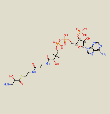 CC(C)(COP(=O)(O)OP(=O)(O)OC[C@H]1O[C@@H](n2cnc3c(N)ncnc32)[C@H](O)[C@@H]1OP(=O)(O)O)C(O)C(=O)NCCC(=O)NCCSC(=O)C(O)CN